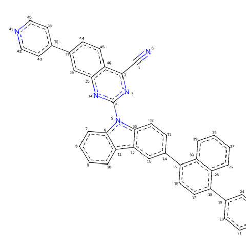 N#Cc1nc(-n2c3ccccc3c3cc(-c4ccc(-c5ccccc5)c5ccccc45)ccc32)nc2cc(-c3ccncc3)ccc12